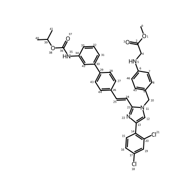 COC(=O)CNc1ccc(Cn2cc(-c3ccc(Cl)cc3Cl)nc2C=Cc2ccc(-c3cccc(NC(=O)OC(C)C)c3)cc2)cc1